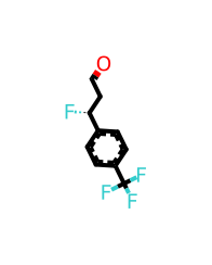 O=CC[C@@H](F)c1ccc(C(F)(F)F)cc1